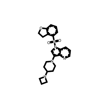 O=S(=O)(c1cccc2c1CCO2)n1cc(N2CCC(N3CCC3)CC2)c2ncccc21